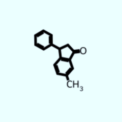 Cc1ccc2c(c1)C(=O)CC2c1ccccc1